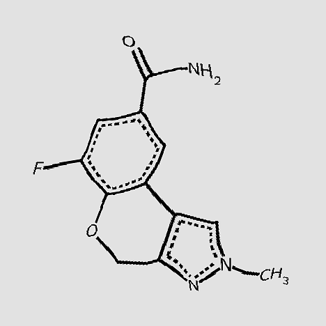 Cn1cc2c(n1)COc1c(F)cc(C(N)=O)cc1-2